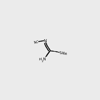 CS/C(N)=N/C#N